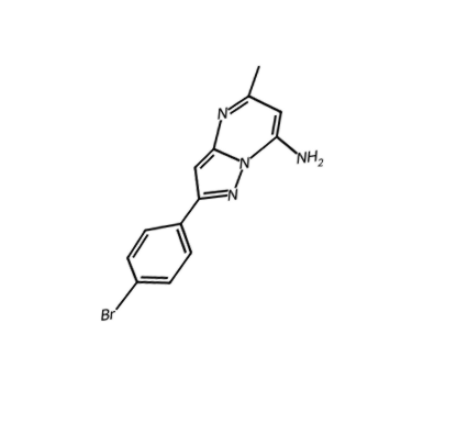 Cc1cc(N)n2nc(-c3ccc(Br)cc3)cc2n1